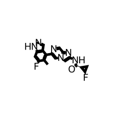 Cc1c(F)cc2[nH]ncc2c1-c1cn2cc(NC(=O)[C@@H]3C[C@@H]3F)nc2cn1